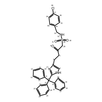 O=C(CCc1c[nH]c(C(c2ccccc2)(c2ccccc2)c2ccccc2)n1)CS(=O)(=O)NCc1ccc(Cl)cc1